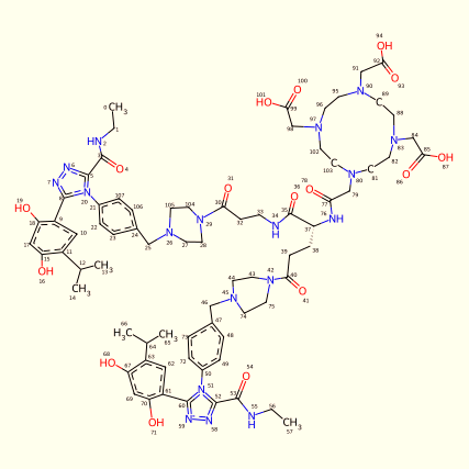 CCNC(=O)c1nnc(-c2cc(C(C)C)c(O)cc2O)n1-c1ccc(CN2CCN(C(=O)CCNC(=O)[C@@H](CCC(=O)N3CCN(Cc4ccc(-n5c(C(=O)NCC)nnc5-c5cc(C(C)C)c(O)cc5O)cc4)CC3)NC(=O)CN3CCN(CC(=O)O)CCN(CC(=O)O)CCN(CC(=O)O)CC3)CC2)cc1